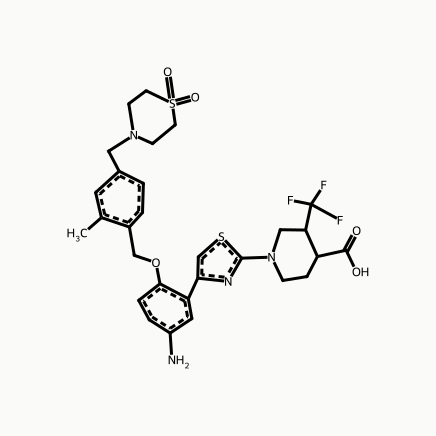 Cc1cc(CN2CCS(=O)(=O)CC2)ccc1COc1ccc(N)cc1-c1csc(N2CCC(C(=O)O)C(C(F)(F)F)C2)n1